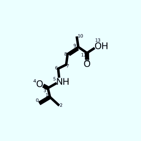 C=C(C)C(=O)NCCC=C(C)C(=O)O